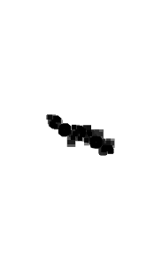 C=CC(=O)Nc1cccc(Nc2nc3cnc(Nc4ccc(N5CCN(C)CC5)cc4)nc3n2C(C)C)c1